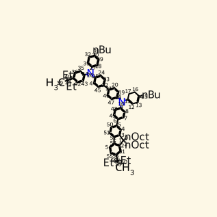 CCCCCCCCC1(CCCCCCCC)c2cc(-c3ccc(N(C4=CC=C(CCCC)CC4)c4ccc(-c5ccc(N(c6ccc(CCCC)cc6)c6ccc(C(C)(CC)CC)cc6)cc5)cc4)cc3)ccc2-c2ccc(C(C)(CC)CC)cc21